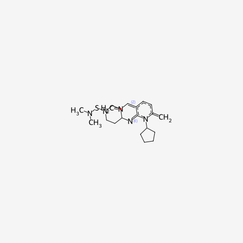 C=N/C=c1/ccc(=C)n(C2CCCC2)/c1=N/C1CCN(SN(C)C)CC1